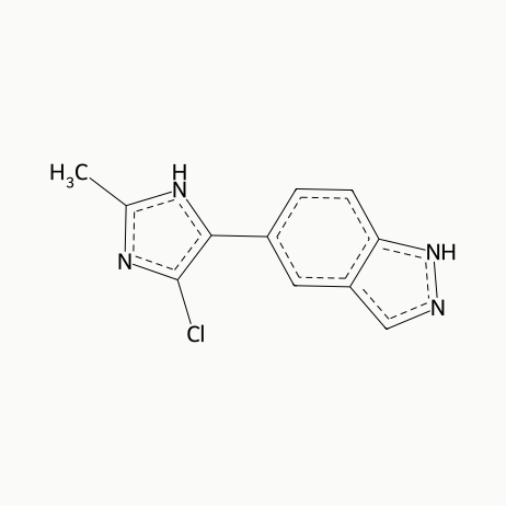 Cc1nc(Cl)c(-c2ccc3[nH]ncc3c2)[nH]1